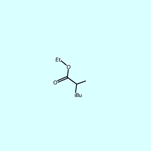 CCOC(=O)C(C)C(C)CC